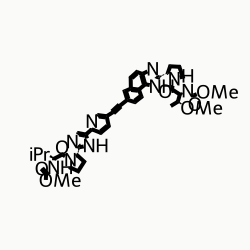 COC(=O)N[C@H](C(=O)N1CCC[C@H]1c1ncc(-c2ccc(C#Cc3ccc4c(ccc5nc([C@@H]6CCCN6C(=O)[C@@H](NC(=O)OC)[C@@H](C)OC)[nH]c54)c3)cn2)[nH]1)C(C)C